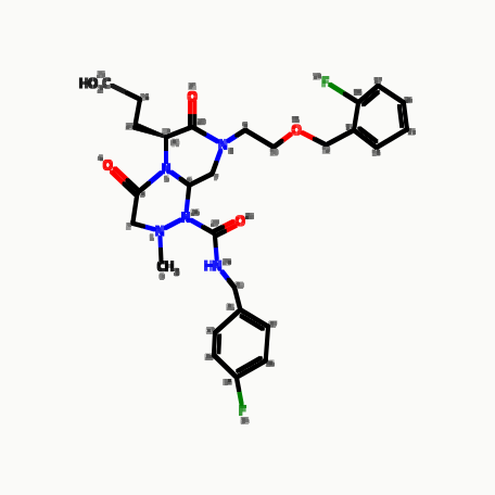 CN1CC(=O)N2C(CN(CCOCc3ccccc3F)C(=O)[C@@H]2CCC(=O)O)N1C(=O)NCc1ccc(F)cc1